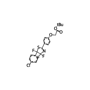 CC(C)(C)OC(=O)COc1ccc(C2=NC(F)(F)C(F)(c3ccc(Cl)cc3)S2)cc1